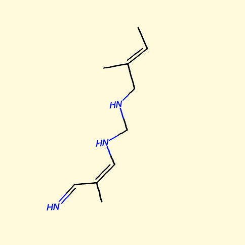 C/C=C(\C)CNCN/C=C(/C)C=N